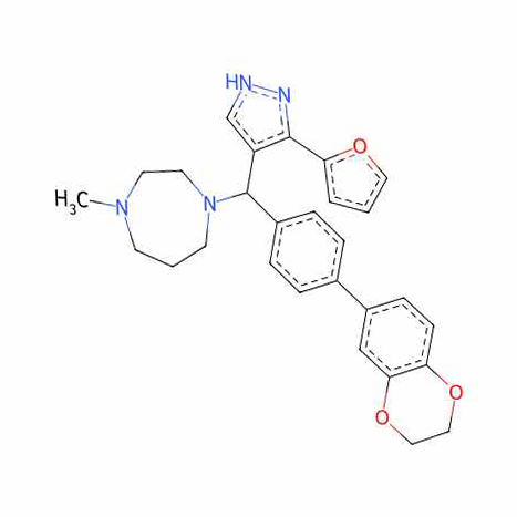 CN1CCCN(C(c2ccc(-c3ccc4c(c3)OCCO4)cc2)c2c[nH]nc2-c2ccco2)CC1